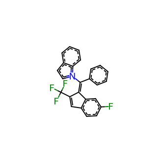 Fc1ccc2c(c1)/C(=C(\c1ccccc1)n1ccc3ccccc31)C(C(F)(F)F)=C2